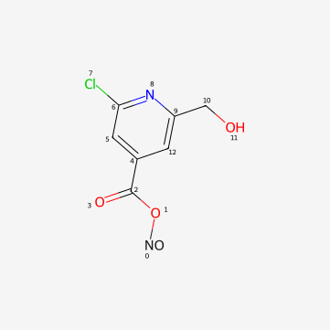 O=NOC(=O)c1cc(Cl)nc(CO)c1